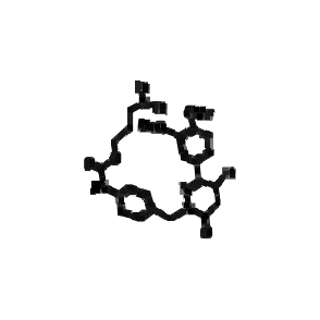 CCC1CC(=O)N(Cc2ccc(NC(=O)OCCCN(CC)CC)cc2)N=C1c1ccc(OC)c(OC)c1